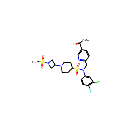 COC(=O)c1ccc(CN(c2ccc(F)c(Cl)c2)S(=O)(=O)C2CCN(C3CN(S(C)(=O)=O)C3)CC2)nc1